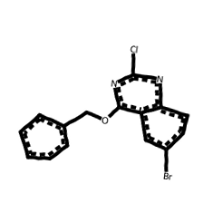 Clc1nc(OCc2ccccc2)c2cc(Br)ccc2n1